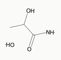 CC(O)C([NH])=O.[OH]